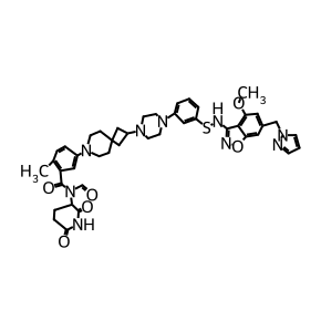 COc1cc(Cn2cccn2)cc2onc(NSc3cccc(N4CCN(C5CC6(CCN(c7ccc(C)c(C(=O)N(C=O)C8CCC(=O)NC8=O)c7)CC6)C5)CC4)c3)c12